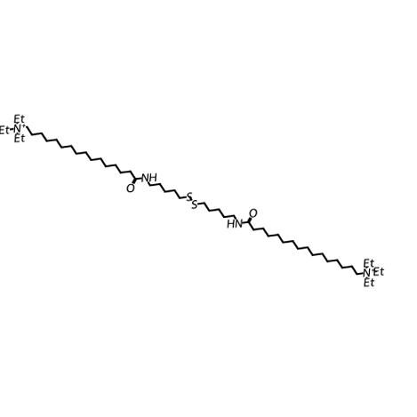 CC[N+](CC)(CC)CCCCCCCCCCCCCCCC(=O)NCCCCCSSCCCCCNC(=O)CCCCCCCCCCCCCCC[N+](CC)(CC)CC